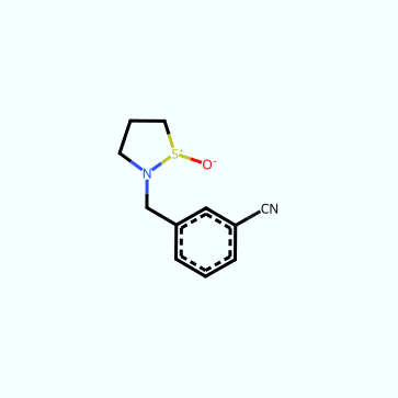 N#Cc1cccc(CN2CCC[S+]2[O-])c1